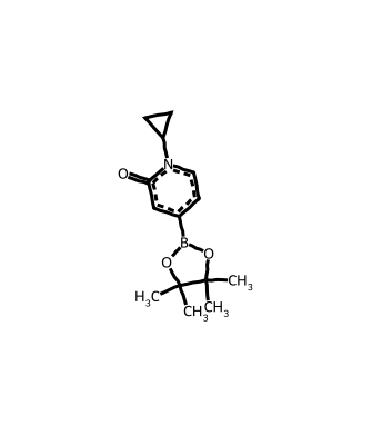 CC1(C)OB(c2ccn(C3CC3)c(=O)c2)OC1(C)C